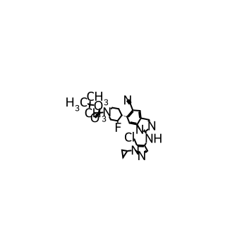 CC(C)(C)OC(=O)N1CC[C@H](c2cc3nc(Nc4cnn(C5CC5)c4Cl)ncc3cc2C#N)[C@@H](F)C1